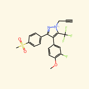 C#CC[N+]1N=C(c2ccc(S(C)(=O)=O)cc2)C(c2ccc(OC)c(F)c2)=C1C(F)(F)F